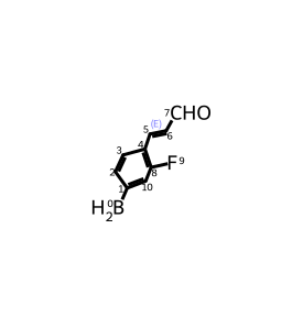 Bc1ccc(/C=C/C=O)c(F)c1